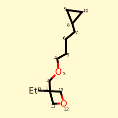 CCC1(COCCCCC2CC2)COC1